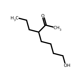 CCCC(CCCCO)C(C)=O